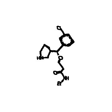 CCNC(=O)CCO[C@@H](c1cccc(Cl)c1)[C@@H]1CCCNC1